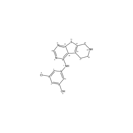 Oc1cc(Cl)cc(Nc2ncnc3sc4c(c23)CCNC4)c1